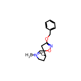 B[N+]12CCC(CC1)C1(CC(OCc3ccccc3)=NO1)C2